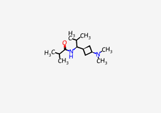 CC(C)C(=O)N[C@@H](C(C)C)[C@H]1C[C@@H](N(C)C)C1